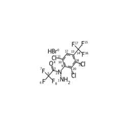 Br.NN(C(=O)C(F)(F)F)c1c(Cl)cc(C(F)(F)F)c(Cl)c1Cl